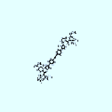 COC(=O)NC(C(=O)N1CCC[C@H]1c1ncc(-c2ccc(C#Cc3ccc(-c4cnc([C@@H]5CN(C(C)=O)CCN5C(=O)[C@@H](NC(=O)OC)C(C)C)[nH]4)cc3)cc2)[nH]1)C(C)C